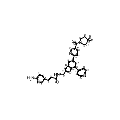 Nc1ccc(C=CC(=O)NCc2cc3cc(-c4ccc(C(=S)N5CCC(F)(F)CC5)cn4)cc(-c4ccncc4)c3o2)cn1